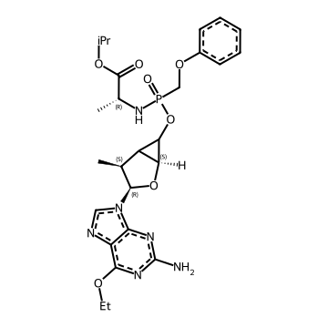 CCOc1nc(N)nc2c1ncn2[C@@H]1O[C@@H]2C(OP(=O)(COc3ccccc3)N[C@H](C)C(=O)OC(C)C)C2[C@@H]1C